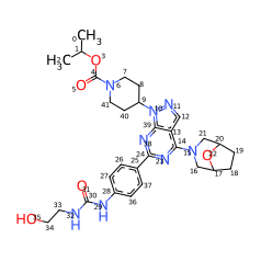 CC(C)OC(=O)N1CCC(n2ncc3c(N4CC5CCC(C4)O5)nc(-c4ccc(NC(=O)NCCO)cc4)nc32)CC1